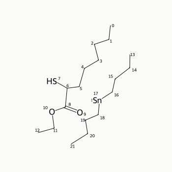 CCCCCCC(S)C(=O)OCC.CCC[CH2][Sn][CH2]CCC